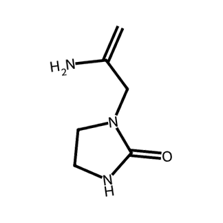 C=C(N)CN1CCNC1=O